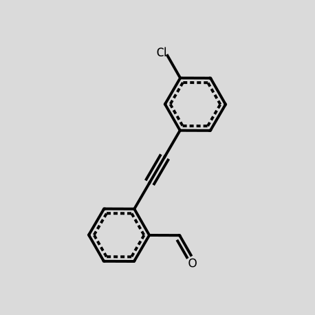 O=Cc1ccccc1C#Cc1cccc(Cl)c1